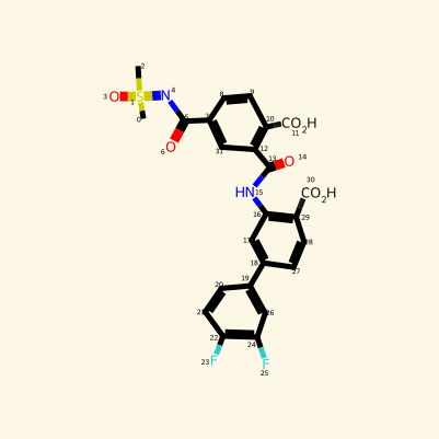 CS(C)(=O)=NC(=O)c1ccc(C(=O)O)c(C(=O)Nc2cc(-c3ccc(F)c(F)c3)ccc2C(=O)O)c1